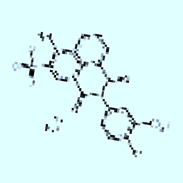 Nc1c(S(=O)(=O)[O-])cc2c3c(cccc13)C(=O)N(c1ccc([O-])c(C(=O)O)c1)C2=O.[Na+].[Na+]